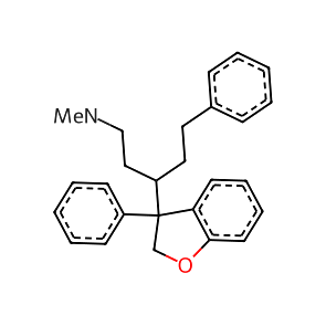 CNCCC(CCc1ccccc1)C1(c2ccccc2)COc2ccccc21